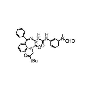 CN(C=O)c1cccc(NC(=O)N[C@@H]2N=C(c3ccccc3)c3ccccc3N(CC(=O)C(C)(C)C)C2=O)c1